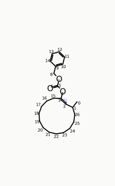 CC1/C=C(\OC(=O)OCc2ccccc2)CCCCCCCCCCCC1